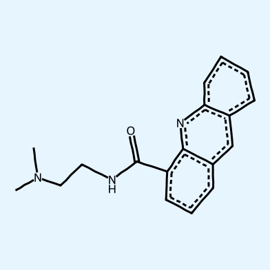 CN(C)CCNC(=O)c1cccc2cc3ccccc3nc12